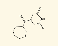 O=C1CN(C(=O)C2CCCCCC2)CC(=O)N1